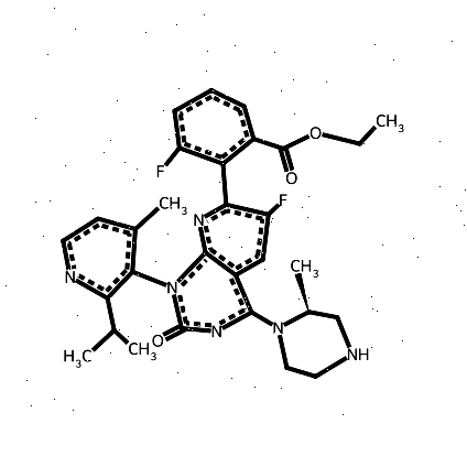 CCOC(=O)c1cccc(F)c1-c1nc2c(cc1F)c(N1CCNC[C@@H]1C)nc(=O)n2-c1c(C)ccnc1C(C)C